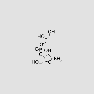 B[C@H]1CC(OP(=O)(O)OC[C@@H](O)CO)[C@@H](CO)O1